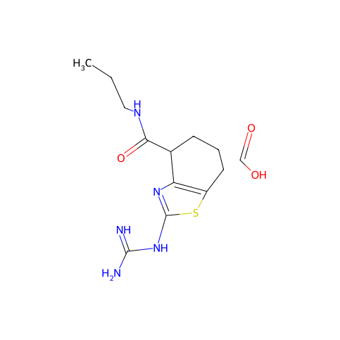 CCCNC(=O)C1CCCc2sc(NC(=N)N)nc21.O=CO